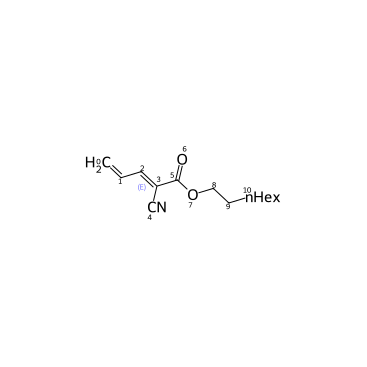 C=C/C=C(\C#N)C(=O)OCCCCCCCC